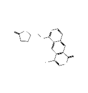 CC(C)c1c[nH]c(=O)c2cc3ccnc(OC[C@@H]4CCC(=O)N4)c3cc12